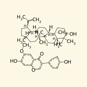 C=C(C)[C@@H]1CC[C@]2(C)CC[C@]3(C)[C@H](CC[C@@H]4[C@@]5(C)CC[C@H](O)C(C)(C)[C@@H]5CC[C@]43C)[C@@H]12.COc1cc2c(=O)c(-c3ccc(O)cc3)coc2cc1O